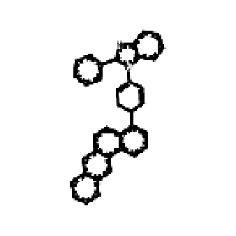 C1=CC(c2cccc3c2ccc2cc4ccccc4cc23)CC=C1n1c(-c2ccccc2)nc2ccccc21